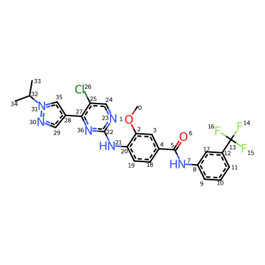 COc1cc(C(=O)Nc2cccc(C(F)(F)F)c2)ccc1Nc1ncc(Cl)c(-c2cnn(C(C)C)c2)n1